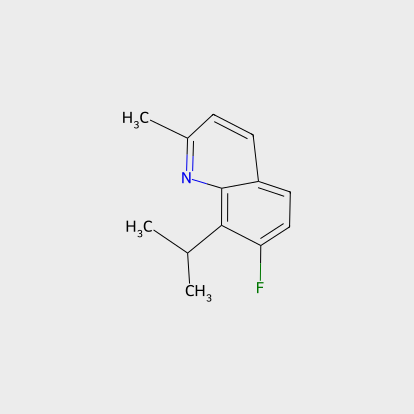 Cc1ccc2ccc(F)c(C(C)C)c2n1